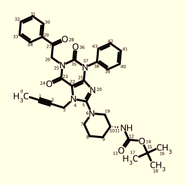 CC#CCn1c(N2CCC[C@@H](NC(=O)OC(C)(C)C)C2)nc2c1c(=O)n(CC(=O)c1ccccc1)c(=O)n2-c1ccccc1